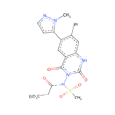 CCOC(=O)CC(=O)N(n1c(=O)[nH]c2cc(C(C)C)c(-c3ccnn3C)cc2c1=O)S(C)(=O)=O